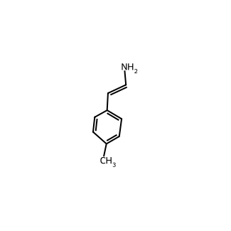 Cc1ccc(C=CN)cc1